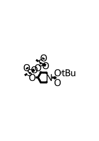 CC(C)(C)OC(=O)N1CCC(OS(C)(=O)=O)C(OS(C)(=O)=O)C1